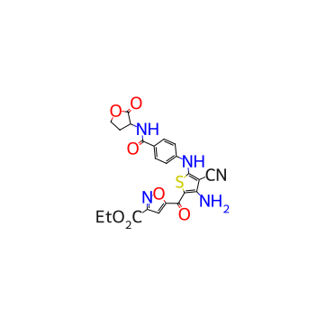 CCOC(=O)c1cc(C(=O)c2sc(Nc3ccc(C(=O)NC4CCOC4=O)cc3)c(C#N)c2N)on1